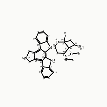 CN[C@@H]1C[C@H](n2c3ccccc3c3c4c(c5c6ccccc6[nH]c5c32)CNC4)O[C@@H]2CC(N)[C@@]12OC